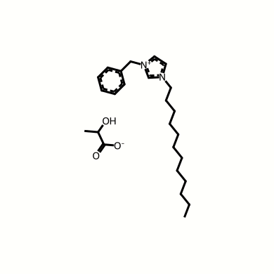 CC(O)C(=O)[O-].CCCCCCCCCCCCn1cc[n+](Cc2ccccc2)c1